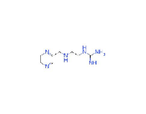 N=C(N)NCCNCc1cnccn1